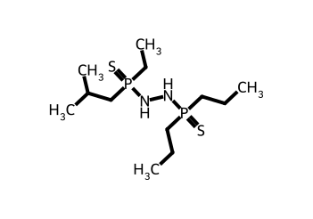 CCCP(=S)(CCC)NNP(=S)(CC)CC(C)C